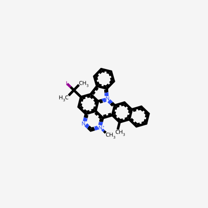 Cc1c2ccccc2cc2c1c1c3c(cc(C(C)(C)I)c4c5ccccc5n2c43)nc[n+]1C